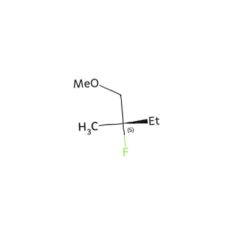 CC[C@](C)(F)COC